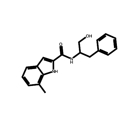 Cc1cccc2cc(C(=O)NC(CO)Cc3ccccc3)[nH]c12